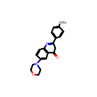 COc1ccc(C2=Nc3ccc(N4CCOCC4)cc3C(=O)C2)cc1